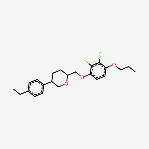 CCCOc1ccc(OCC2CCC(c3ccc(CC)cc3)CO2)c(F)c1F